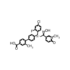 Cc1cc(C(=O)O)ccc1-c1ccc([C@@H](CC(=NO)c2ccc(=O)n(C)c2)c2ccc(Cl)cc2F)cc1